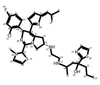 CC(F)/C=C1/C=CC(C2=C3C[C@H](NCCNC(C)CC(O)(CCI)c4nccs4)CN3C(C3SC=CN3C)=N[C@H]2c2ccc(F)cc2Cl)=N1